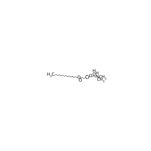 CCCCCCCCCCCCCCCCOC(=O)CCc1ccc(OCC(O)CNC(C)C)cc1